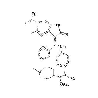 CCC(=O)c1cc2c(cc1C)/C(=C(/Nc1ccc(C(=O)N(OC)C3CCN(C)CC3)cc1)c1ccccc1)C(=O)N2